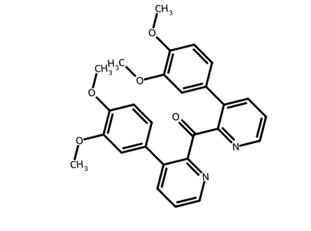 COc1ccc(-c2cccnc2C(=O)c2ncccc2-c2ccc(OC)c(OC)c2)cc1OC